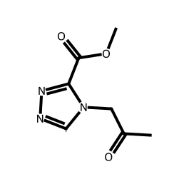 COC(=O)c1nn[c]n1CC(C)=O